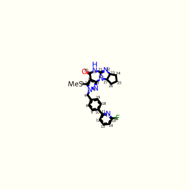 CSc1c2c(nn1Cc1ccc(-c3cccc(F)n3)cc1)N1C(=NC3CCCC31)NC2=O